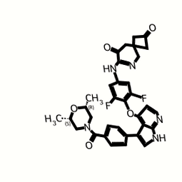 C[C@@H]1CN(C(=O)c2ccc(-c3c[nH]c4nccc(Oc5c(F)cc(NC6=NCC7(CC(=O)C7)CC6=O)cc5F)c34)cc2)C[C@H](C)O1